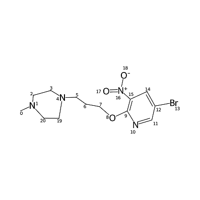 CN1CCN(CCCOc2ncc(Br)cc2[N+](=O)[O-])CC1